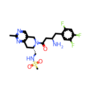 Cc1ncc2c(n1)C[C@@H](CNS(C)(=O)=O)N(C(=O)C[C@H](N)Cc1cc(F)c(F)cc1F)C2